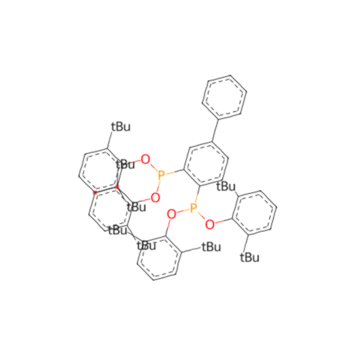 CC(C)(C)c1cccc(C(C)(C)C)c1OP(Oc1c(C(C)(C)C)cccc1C(C)(C)C)c1ccc(-c2ccccc2)cc1P(Oc1c(C(C)(C)C)cccc1C(C)(C)C)Oc1c(C(C)(C)C)cccc1C(C)(C)C